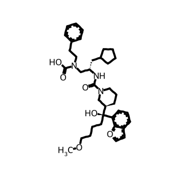 COCCCC[C@@](O)(c1cccc2ccoc12)[C@@H]1CCCN(C(=O)N[C@@H](CC2CCCC2)CN(CCc2ccccc2)C(=O)O)C1